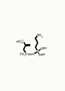 C=C(CC(=O)O)C(=O)O.CO[Si](CCCN)(OC)OC